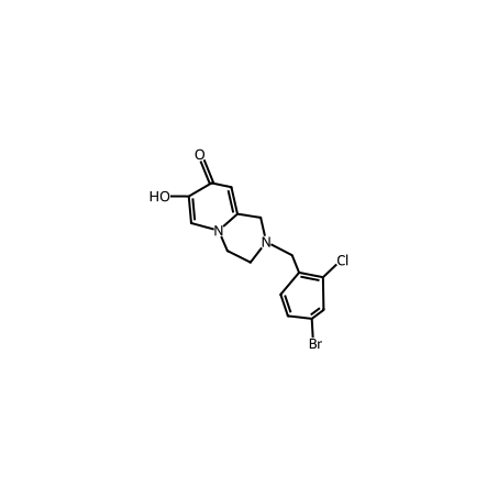 O=c1cc2n(cc1O)CCN(Cc1ccc(Br)cc1Cl)C2